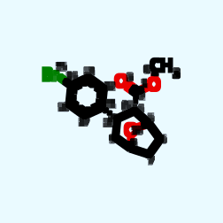 COC(=O)[C@@H]1C2CCC(C[C@@H]1c1ccc(Br)cc1)O2